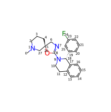 CN1CCC[C@]2(CN=C(N3CCc4ccccc4[C@H]3c3cccc(F)c3)O2)C1